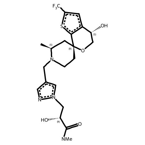 CNC(=O)[C@H](O)Cn1cc(CN2CC[C@]3(C[C@@H]2C)OC[C@@H](O)c2cc(C(F)(F)F)sc23)cn1